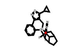 [N-]=[N+]=NC1C2CCC1CC(OCc1c(-c3ccccc3OC(F)(F)F)noc1C1CC1)C2